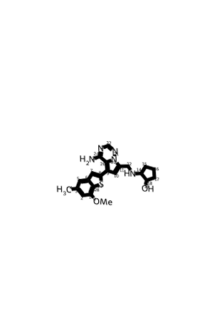 COc1cc(C)cc2cc(-c3cc(CNC4CCCC4O)n4ncnc(N)c34)sc12